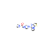 O=C(CN1CCN(c2nc3ccsc3n3cccc23)CC1)N1CCCC1